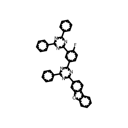 Fc1ccc(-c2nc(-c3ccccc3)nc(-c3ccc4c(c3)oc3ccccc34)n2)cc1-c1nc(-c2ccccc2)nc(-c2ccccc2)n1